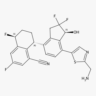 N#Cc1cc(F)cc2c1[C@@H](c1ccc(-c3cnc(CN)s3)c3c1CC(F)(F)[C@H]3O)CC[C@@H]2F